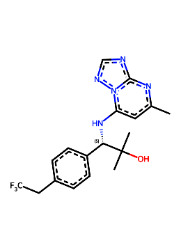 Cc1cc(N[C@@H](c2ccc(CC(F)(F)F)cc2)C(C)(C)O)n2ncnc2n1